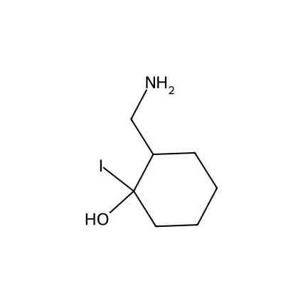 NCC1CCCCC1(O)I